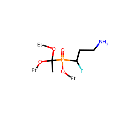 CCOC(C)(OCC)P(=O)(OCC)C(F)CCN